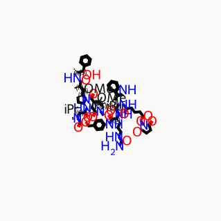 CC[C@H](C)[C@@H]([C@@H](CC(=O)N1CCC[C@H]1[C@H](OC)[C@@H](C)C(=O)N[C@H](C)[C@@H](O)c1ccccc1)OC)N(C)C(=O)[C@@H](NC(=O)[C@H](C(C)C)N(C)C(=O)OCc1ccc(NC(=O)[C@H](CCCNC(N)=O)NC(=O)[C@H](Cc2c[nH]c3ccccc23)NC(=O)CCCC(=O)ON2C(=O)CCC2=O)cc1)C(C)C